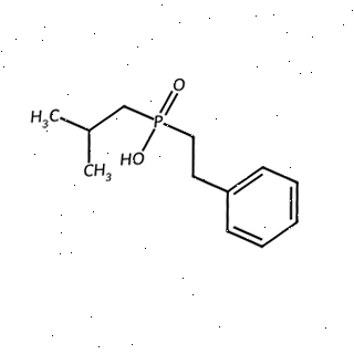 CC(C)CP(=O)(O)CCc1ccccc1